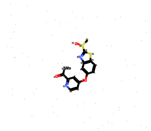 CNC(=O)c1cc(Oc2ccc3sc([S+](C)[O-])nc3c2)ccn1